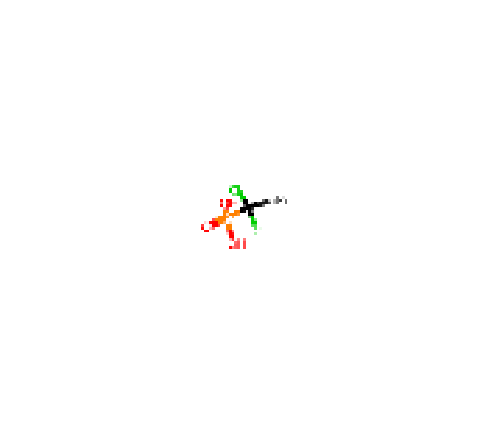 CCCC(Cl)(Cl)P(=O)(O)O